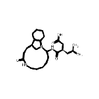 CC(C)C[C@H](CC(=O)O)C(=O)NC1CCCCCNC(=O)CCC2CN1C1CCCCC21